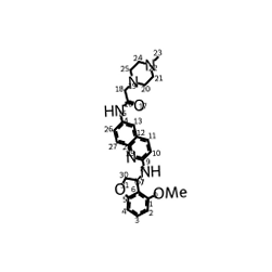 COc1cccc2c1[C@H](Nc1ccc3cc(NC(=O)CN4CCN(C)CC4)ccc3n1)CO2